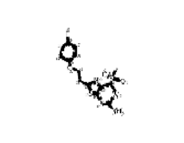 CS(=O)(=O)c1nc(N)nc2sc(CCOc3ccc(F)cc3)nc12